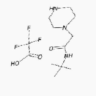 CC(C)(C)NC(=O)CN1CCNCC1.O=C(O)C(F)(F)F